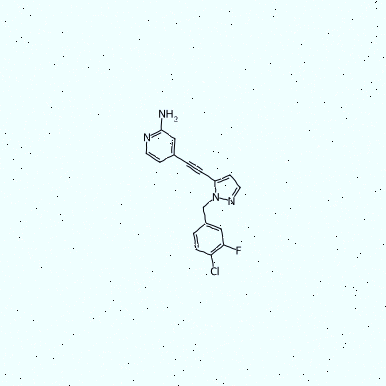 Nc1cc(C#Cc2ccnn2Cc2ccc(Cl)c(F)c2)ccn1